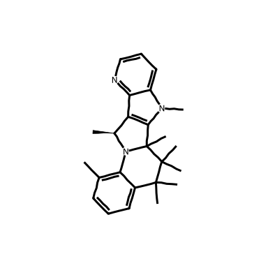 Cc1cccc2c1N1[C@@H](C)c3c(n(C)c4cccnc34)C1(C)C(C)(C)C2(C)C